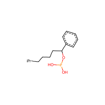 CC(C)CCCCC(OP(O)O)c1ccccc1